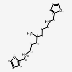 NC(CCCNCc1ccco1)CCCNCc1ccco1